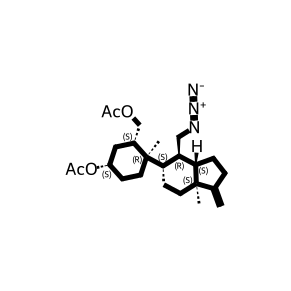 C=C1CC[C@H]2[C@H](CN=[N+]=[N-])[C@@H]([C@@]3(C)CC[C@H](OC(C)=O)C[C@@H]3COC(C)=O)CC[C@]12C